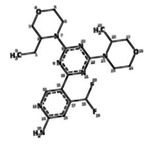 CCC1COCCN1c1nc(-c2cnc(N)cc2C(F)F)nc(N2CCOCC2C)n1